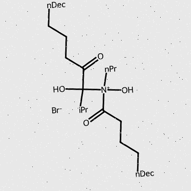 CCCCCCCCCCCCCC(=O)C(O)(C(C)C)[N+](O)(CCC)C(=O)CCCCCCCCCCCCC.[Br-]